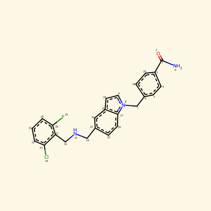 NC(=O)c1ccc(Cn2ccc3cc(CNCc4c(F)cccc4Cl)ccc32)cc1